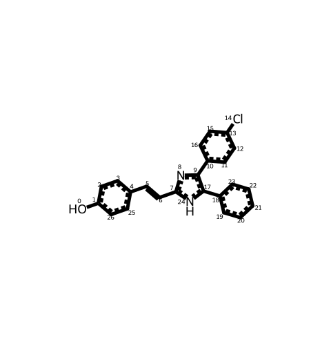 Oc1ccc(C=Cc2nc(-c3ccc(Cl)cc3)c(-c3ccccc3)[nH]2)cc1